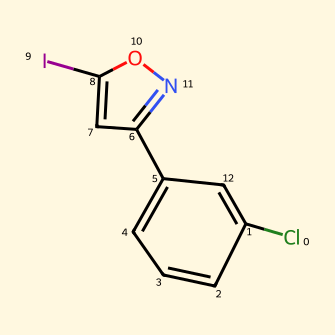 Clc1cccc(-c2cc(I)on2)c1